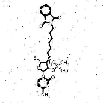 CC[C@H]1O[C@@H](n2ccc(N)nc2=O)[C@@H](O[Si](C)(C)C(C)(C)C)C1OCCCCCCN1C(=O)c2ccccc2C1=O